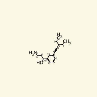 CCC(C#Cc1cccc(C(O)CCN)c1)CC